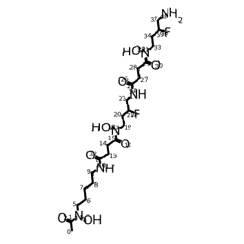 CC(=O)N(O)CCCCCNC(=O)CCC(=O)N(O)CCC(F)CNC(=O)CCC(=O)N(O)CCC(F)CN